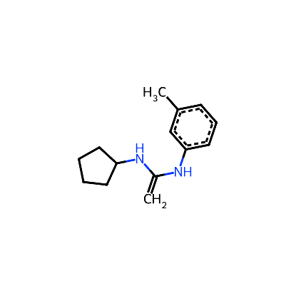 C=C(Nc1cccc(C)c1)NC1CCCC1